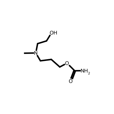 CN(CCO)CCCOC(N)=O